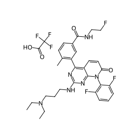 CCN(CC)CCCNc1nc(-c2cc(C(=O)NCCF)ccc2C)c2ccc(=O)n(-c3c(F)cccc3F)c2n1.O=C(O)C(F)(F)F